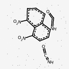 N=C=O.N=C=O.O=[N+]([O-])c1cccc2cccc([N+](=O)[O-])c12